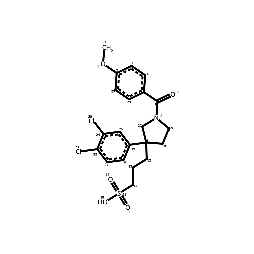 COc1ccc(C(=O)N2CCC(CCCS(=O)(=O)O)(c3ccc(Cl)c(Cl)c3)C2)cc1